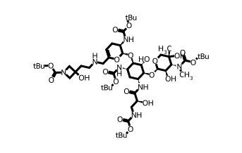 CN(C(=O)OC(C)(C)C)[C@@H]1[C@@H](O)[C@@H](O[C@@H]2[C@@H](O)[C@H](O[C@H]3OC(CNCCC4(O)CN(C(=O)OC(C)(C)C)C4)=CC[C@H]3NC(=O)OC(C)(C)C)[C@@H](NC(=O)OC(C)(C)C)C[C@H]2NC(=O)[C@@H](O)CNC(=O)OC(C)(C)C)OC[C@]1(C)O